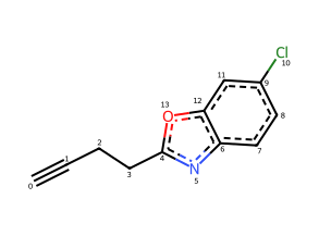 C#CCCc1nc2ccc(Cl)cc2o1